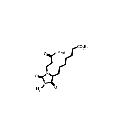 CCCCCC(=O)CCN1C(=O)N(C)C(=O)C1CCCCCCC(=O)OCC